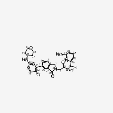 CC(NC(=O)CN1Cc2ccc(-c3nc(NC4CCOCC4)ncc3Cl)cc2C1=O)c1cccc(C#N)n1